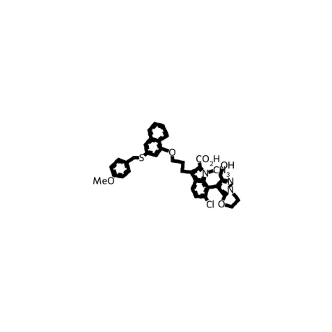 COc1ccc(CSc2cc(OCCCc3c(C(=O)O)n(C)c4c(-c5c(CO)nn6c5OCC6)c(Cl)ccc34)c3ccccc3c2)cc1